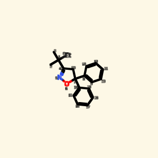 CCC(C)(C)C1=NOC(c2ccccc2)(c2ccccc2)C1